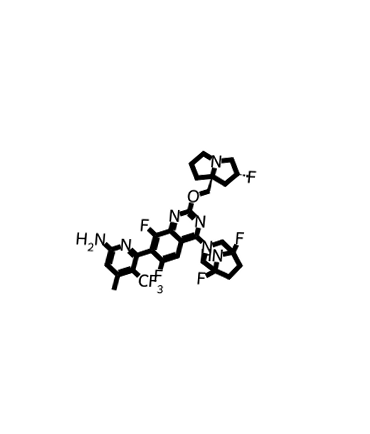 Cc1cc(N)nc(-c2c(F)cc3c(N4CC5(F)CCC(F)(C4)N5)nc(OC[C@@]45CCCN4C[C@H](F)C5)nc3c2F)c1C(F)(F)F